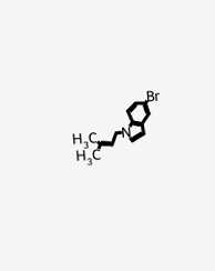 CC(C)=CCn1ccc2cc(Br)ccc21